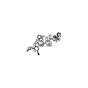 C#CCCC(NC(=O)[C@@H]1[C@H]2CCC[C@H]2CN1C(=O)[C@@H](NC(=O)N[C@H](CN(C)S(=O)(=O)c1cccs1)C(C)(C)C)C(C)(C)C)C(=O)C(=O)NCC=C